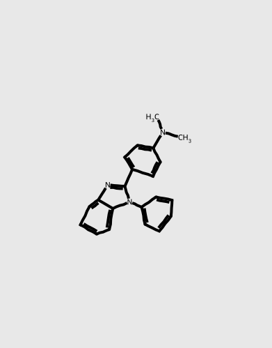 CN(C)c1ccc(-c2nc3ccccc3n2-c2ccccc2)cc1